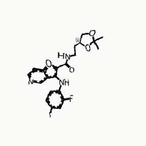 CC1(C)OC[C@H](CCNC(=O)c2oc3ccncc3c2Nc2ccc(I)cc2F)O1